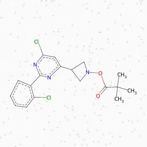 CC(C)(C)C(=O)ON1CC(c2cc(Cl)nc(-c3ccccc3Cl)n2)C1